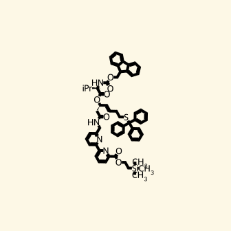 CC(C)[C@@H](NC(=O)OCC1c2ccccc2-c2ccccc21)C(=O)O[C@H](C=CCCSC(c1ccccc1)(c1ccccc1)c1ccccc1)CC(=O)NCc1cccc(-c2cccc(C(=O)OCC[Si](C)(C)C)n2)n1